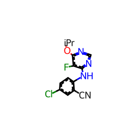 CC(C)Oc1ncnc(Nc2ccc(Cl)cc2C#N)c1F